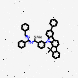 CNC(/N=C(\N=C\c1ccccc1)c1ccccc1)c1cccc(-n2c3ccc(-c4ccccc4)cc3c3ccc4c(c32)C(C)(C)c2ccccc2-4)c1